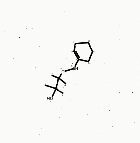 CC(C)(O)C(C)(C)OBC1=CCCCC1